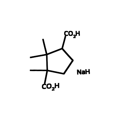 CC1(C(=O)O)CCC(C(=O)O)C1(C)C.[NaH]